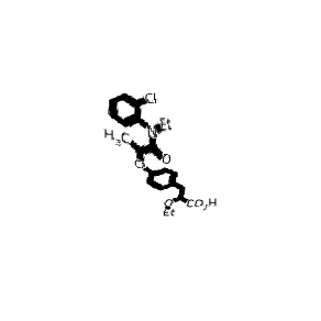 CCOC(Cc1ccc(OC(C)C(=O)N(CC)c2ccccc2Cl)cc1)C(=O)O